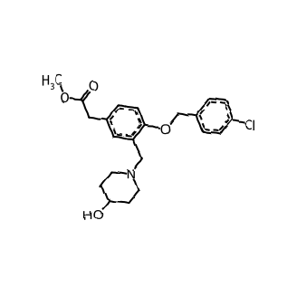 COC(=O)Cc1ccc(OCc2ccc(Cl)cc2)c(CN2CCC(O)CC2)c1